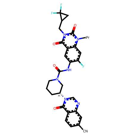 CC(C)n1c(=O)n(CC2CC2(F)F)c(=O)c2cc(NC(=O)N3CCC[C@@H](n4cnc5cc(C#N)ccc5c4=O)C3)c(F)cc21